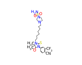 CC1(C)C(=O)N(c2ccc(C#N)c(C(F)(F)F)c2)C(=S)N1CCCCCCCCN1CCN(S(N)(=O)=O)CC1